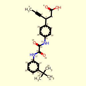 CC#CC(CC(=O)O)c1ccc(NC(=O)C(=O)Nc2cccc(C(C)(C)C)c2)cc1